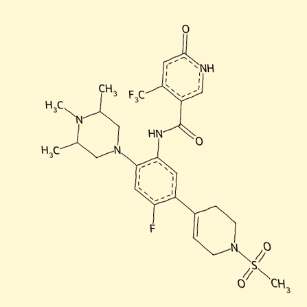 CC1CN(c2cc(F)c(C3=CCN(S(C)(=O)=O)CC3)cc2NC(=O)c2c[nH]c(=O)cc2C(F)(F)F)CC(C)N1C